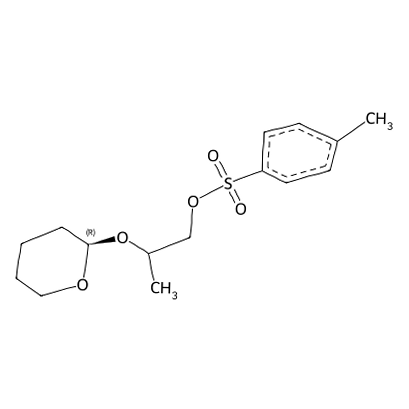 Cc1ccc(S(=O)(=O)OCC(C)O[C@@H]2CCCCO2)cc1